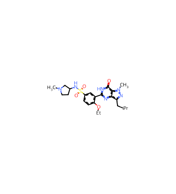 CCOc1ccc(S(=O)(=O)NC2CCN(C)C2)cc1-c1nc2c(CC(C)C)nn(C)c2c(=O)[nH]1